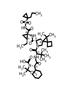 CCCC1(S(=O)(=O)NC(=O)[C@@]2(NC(=O)[C@@H]3C[C@@]4(CN3C(=O)[C@@H](NC(=O)[C@H](C3CCCCC3)N(C(=O)O)C(C)(C)C)C(C)(C)C)C(C)(C)C43CCC3)C[C@@H]2CC)CC1